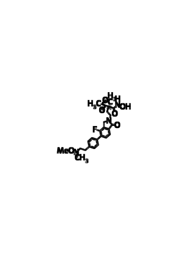 CON(C)CCc1ccc(-c2ccc3c(c2F)CN(CC[C@](C)(C(=O)NO)S(C)(=O)=O)C3=O)cc1